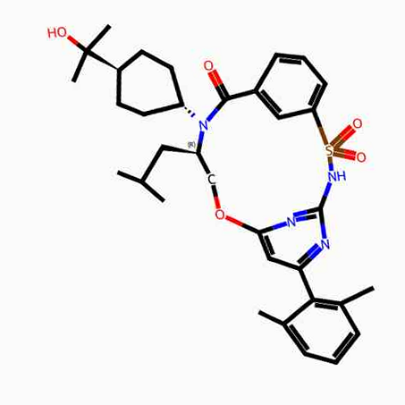 Cc1cccc(C)c1-c1cc2nc(n1)NS(=O)(=O)c1cccc(c1)C(=O)N([C@H]1CC[C@H](C(C)(C)O)CC1)[C@H](CC(C)C)CO2